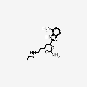 CCSNCCCCC(OC(N)=O)c1nc2cccc(N)c2[nH]1